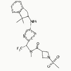 CN(C(=O)C1CN(S(C)(=O)=O)C1)C(c1ccc(NC2Cc3ccccc3C2(C)C)cn1)C(F)(F)F